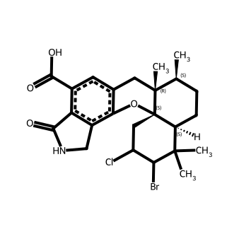 C[C@H]1CC[C@H]2C(C)(C)C(Br)C(Cl)C[C@]23Oc2c(cc(C(=O)O)c4c2CNC4=O)C[C@]13C